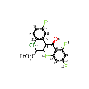 CCOC(=O)CCC(C(=O)c1c(F)cc(F)cc1F)c1cc(F)ccc1Cl